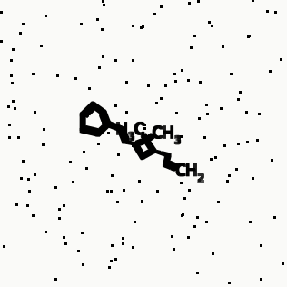 C=CC[C@H]1C[C@@H](C=Cc2ccccc2)C1(C)C